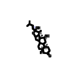 CC(C)/C=C/C1(O)OC2CC3C4CC[C@H]5CC(=O)CC[C@]5(C)C4C[C@H](O)[C@]3(C)C2[C@@H]1C